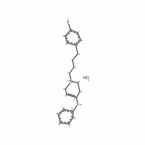 Cl.Fc1ccc(CCCCN2CC=C(Sc3ccccc3)CC2)cc1